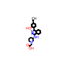 C#Cc1ccc(-c2nnc(N[C@@H]3CCCN(CC(=O)O)C3)c3ccccc23)c(O)c1